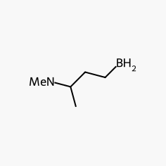 BCCC(C)NC